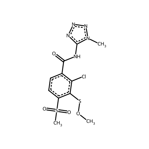 COSc1c(S(C)(=O)=O)ccc(C(=O)Nc2nnnn2C)c1Cl